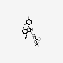 C=Cc1ccnc2c1c(C1CN(C(=O)OC(C)(C)C)C1)nn2-c1ccc(C)cc1C